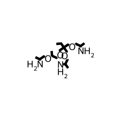 CCC(COCC(C)N)(COCC(C)N)COCC(C)OCC(C)N